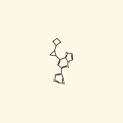 c1ncc(-c2cc(C3CC3C3CCC3)c3nccn3n2)cn1